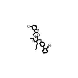 CCCCc1nc(C)n(CC2=CSC3C=CC(Cl)=CC23)c(=O)c1Cc1ccc(-c2ccccc2C#N)cc1